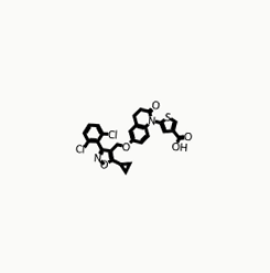 O=C(O)c1csc(N2C(=O)CCc3cc(OCc4c(-c5c(Cl)cccc5Cl)noc4C4CC4)ccc32)c1